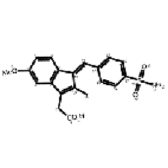 COc1ccc2c(c1)C(CC(=O)O)=C(C)C2=Cc1ccc(S(N)(=O)=O)cc1